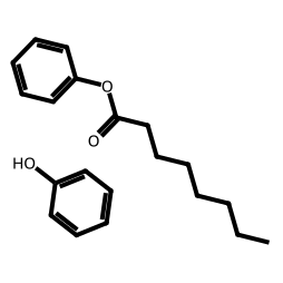 CCCCCCCC(=O)Oc1ccccc1.Oc1ccccc1